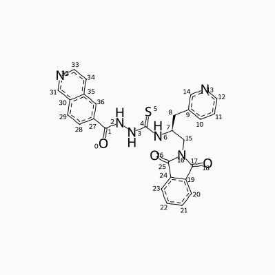 O=C(NNC(=S)N[C@@H](Cc1cccnc1)CN1C(=O)c2ccccc2C1=O)c1ccc2cnccc2c1